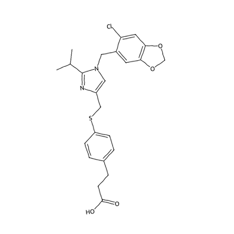 CC(C)c1nc(CSc2ccc(CCC(=O)O)cc2)cn1Cc1cc2c(cc1Cl)OCO2